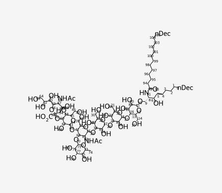 CCCCCCCCCCCCC/C=C/[C@@H](O)[C@H](CO[C@@H]1OC(CO)[C@@H](O[C@@H]2OC(CO)[C@H](O)[C@H](O[C@H]3OC(CO)[C@H](O)[C@H](O[C@@H]4OC(CO)[C@@H](O[C@@H]5OC(CO)[C@H](O)[C@H](O[C@]6(C(=O)O)CC(O)[C@@H](NC(C)=O)C([C@H](O)[C@H](O)CO)O6)C5O)[C@H](O[C@H]5OC(C)[C@@H](O)C(O)[C@@H]5O)C4NC(C)=O)C3O)C2O)[C@H](O)C1O)NC(=O)CCCCCCCCCCCCCCCCCCCCC